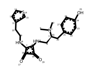 CN(C)[C@H](CNc1c(NCCc2ccsc2)c(=O)c1=O)Cc1ccc(O)cc1